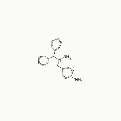 Nc1ccc(CN(N)C(c2ccccc2)c2ccccc2)cc1